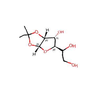 CC1(C)O[C@H]2O[C@H](C(O)CO)[C@@H](O)[C@H]2O1